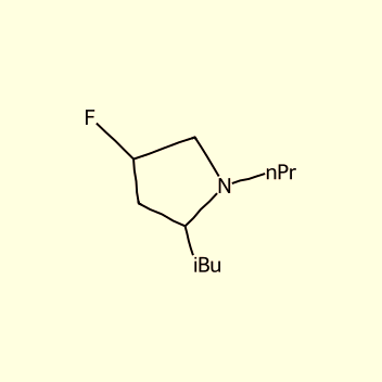 CCCN1CC(F)CC1C(C)CC